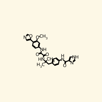 COc1cc(NC(=O)C(=O)NC(C)(C)Cc2ccc(NC(=O)c3c[nH]cn3)cc2)ccc1-c1cnco1